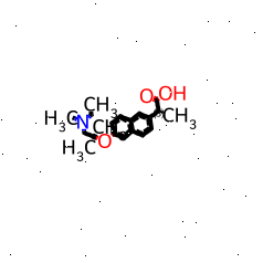 CCN(C)CC(C)(C)Oc1ccc2cc([C@H](C)C(=O)O)ccc2c1